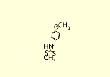 COc1ccc(CNC(=S)SC)cc1